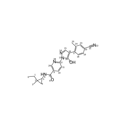 CCC1(C)CC1NC(=O)c1ccc(-n2ncc(-c3ccc(C#N)cc3C)c2O)nc1